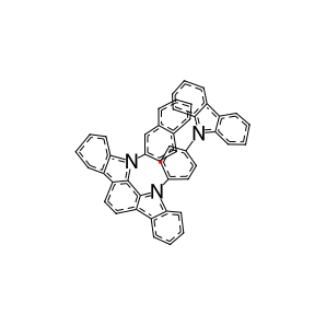 c1ccc2cc(-n3c4ccccc4c4ccc5c6ccccc6n(-c6ccc(-n7c8ccccc8c8ccccc87)cc6)c5c43)ccc2c1